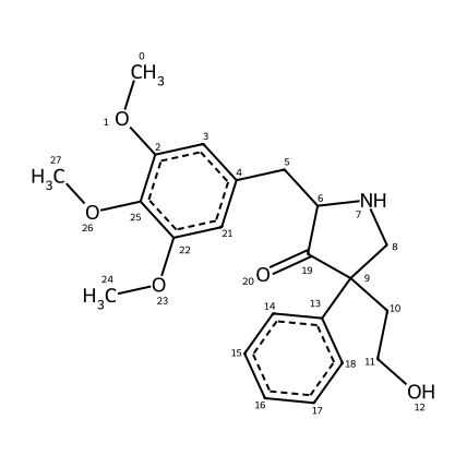 COc1cc(CC2NCC(CCO)(c3ccccc3)C2=O)cc(OC)c1OC